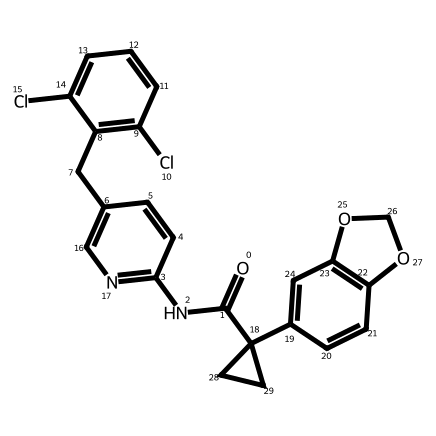 O=C(Nc1ccc(Cc2c(Cl)cccc2Cl)cn1)C1(c2ccc3c(c2)OCO3)CC1